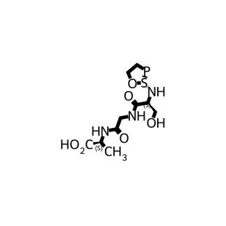 C[C@H](NC(=O)CNC(=O)[C@H](CO)NS1=PCCO1)C(=O)O